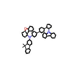 CC1(C)c2ccccc2-c2ccc(N(c3ccc(-c4ccc(-c5ccccc5-n5c6ccccc6c6ccccc65)cc4)cc3)c3cccc4oc5ccccc5c34)cc21